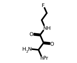 CCCC(N)C(=O)C(=O)NCCF